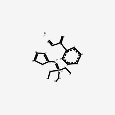 C=CC(=C)c1ccccc1.CCP(CC)(CC)=NC1=CC=CC1.[Ti]